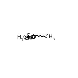 CCCCCCCc1ccc(OC(=O)OC)cc1